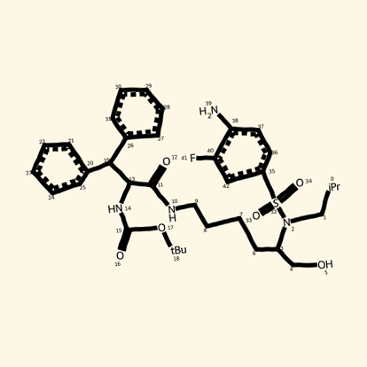 CC(C)CN(C(CO)CCCCNC(=O)C(NC(=O)OC(C)(C)C)C(c1ccccc1)c1ccccc1)S(=O)(=O)c1ccc(N)c(F)c1